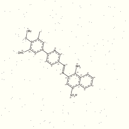 CCCCOc1c(C)cc(-c2ccc(N=Nc3cc(S(=O)(=O)O)c4ccccc4c3N)cn2)cc1C=O